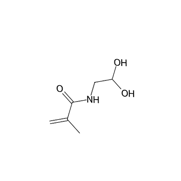 C=C(C)C(=O)NCC(O)O